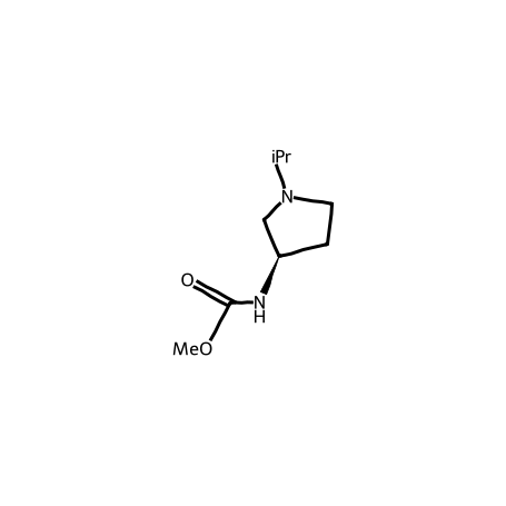 COC(=O)N[C@@H]1CCN(C(C)C)C1